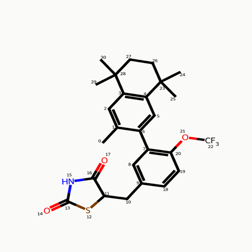 Cc1cc2c(cc1-c1cc(CC3SC(=O)NC3=O)ccc1OC(F)(F)F)C(C)(C)CCC2(C)C